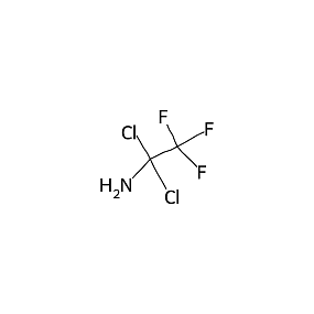 NC(Cl)(Cl)C(F)(F)F